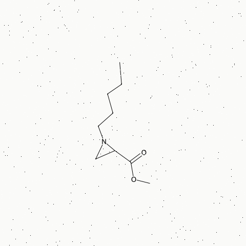 CCCCCN1CC1C(=O)OC